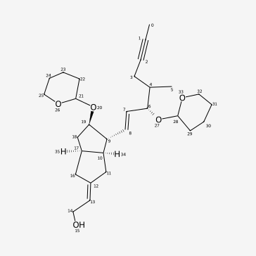 CC#CCC(C)[C@@H](/C=C/[C@@H]1[C@H]2C/C(=C/CO)C[C@H]2C[C@H]1OC1CCCCO1)OC1CCCCO1